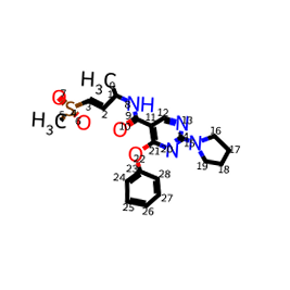 CC(C=CS(C)(=O)=O)NC(=O)c1cnc(N2CCCC2)nc1Oc1ccccc1